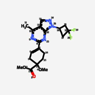 COC(=O)C1(OC)CC=C(c2nc(C)c3cnn(C4CC(F)(F)C4)c3n2)CC1